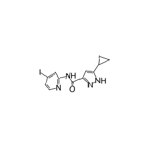 O=C(Nc1cc(I)ccn1)c1cc(C2CC2)[nH]n1